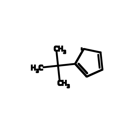 CC(C)(C)C1=CC=C[C]1